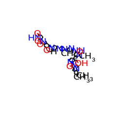 C[C@@H]1CN([C@H]2CCN3c4cc5c(cc4OCC[C@H]3C2)C(=O)N(C2CCC(=O)NC2=O)C5)CCN1c1ccc(Nc2cc(-c3ccnc(N4CCn5c(cc6c5CC(C)(C)C6)C4=O)c3CO)cn(C)c2=O)nc1